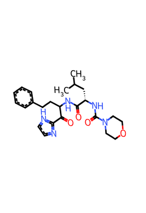 CC(C)C[C@H](NC(=O)N1CCOCC1)C(=O)NC(CCc1ccccc1)C(=O)c1ncc[nH]1